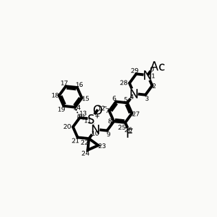 CC(=O)N1CCN(c2ccc(CN3[S+]([O-])[C@@H](c4ccccc4)CCC34CC4)c(F)c2)CC1